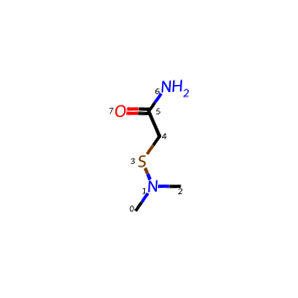 CN(C)SCC(N)=O